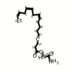 CC/C=C\C/C=C\C/C=C\CCCCCCCC(=O)ONC(N)=O